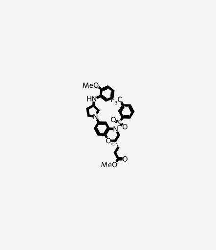 COC(=O)CC[C@H]1CN(S(=O)(=O)c2cccc(C(F)(F)F)c2)c2cc(N3CCC(Nc4ccccc4OC)C3)ccc2O1